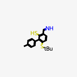 Cc1ccc(-c2c(SC(C)(C)C)ccc(C=N)c2S)cc1